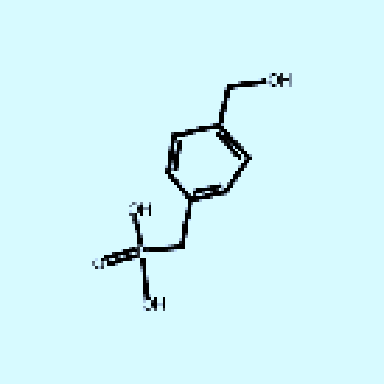 O=P(O)(O)Cc1ccc(CO)cc1